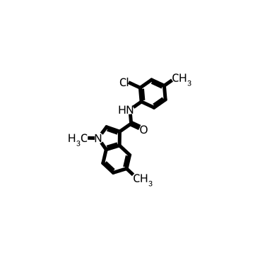 Cc1ccc(NC(=O)c2cn(C)c3ccc(C)cc23)c(Cl)c1